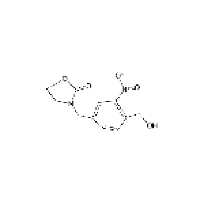 O=C1OCCN1Cc1ccc(CO)c([N+](=O)[O-])c1